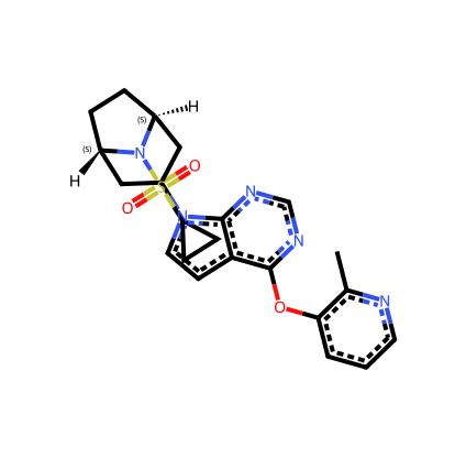 Cc1ncccc1Oc1ncnc2c1ccn2C1C[C@@H]2CC[C@@H](C1)N2S(=O)(=O)C1CC1